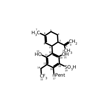 C=C(C)C1CCC(C)=CC1c1c(O)c(CC(F)(F)F)c(CCCCC)c(S(=O)(=O)O)c1O